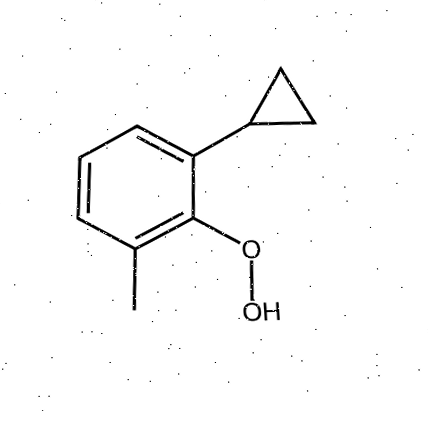 Cc1cccc(C2CC2)c1OO